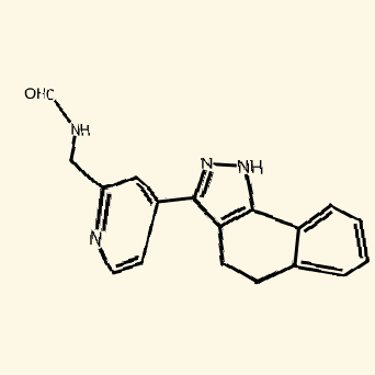 O=CNCc1cc(-c2n[nH]c3c2CCc2ccccc2-3)ccn1